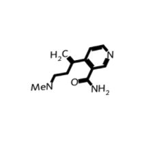 C=C(CCNC)c1ccncc1C(N)=O